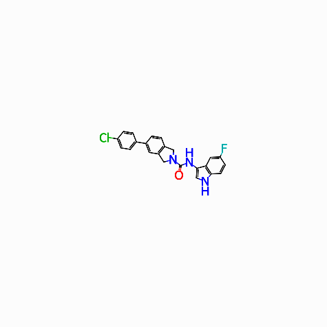 O=C(Nc1c[nH]c2ccc(F)cc12)N1Cc2ccc(-c3ccc(Cl)cc3)cc2C1